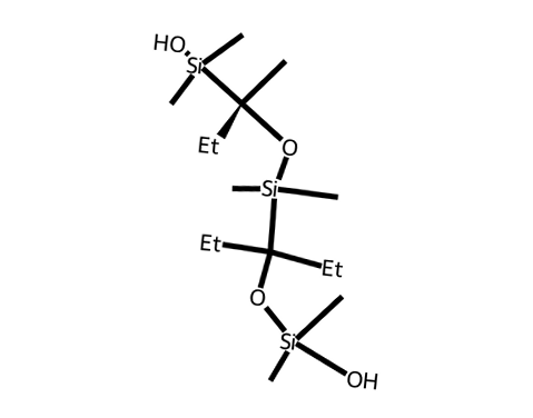 CCC(CC)(O[Si](C)(C)O)[Si](C)(C)O[C@](C)(CC)[Si](C)(C)O